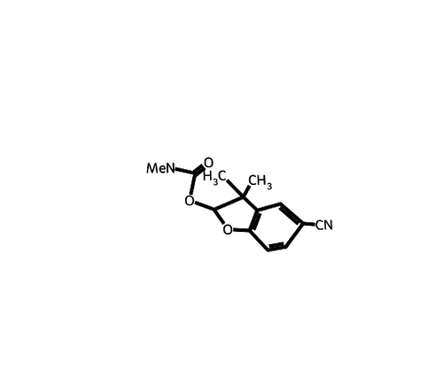 CNC(=O)OC1Oc2ccc(C#N)cc2C1(C)C